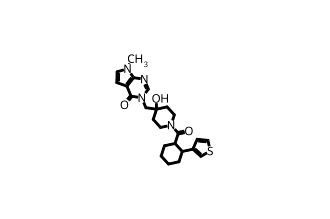 Cn1ccc2c(=O)n(CC3(O)CCN(C(=O)C4CCCCC4c4ccsc4)CC3)cnc21